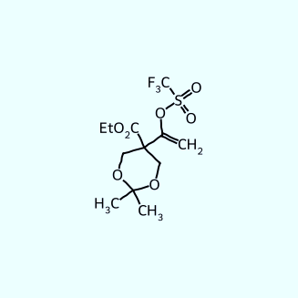 C=C(OS(=O)(=O)C(F)(F)F)C1(C(=O)OCC)COC(C)(C)OC1